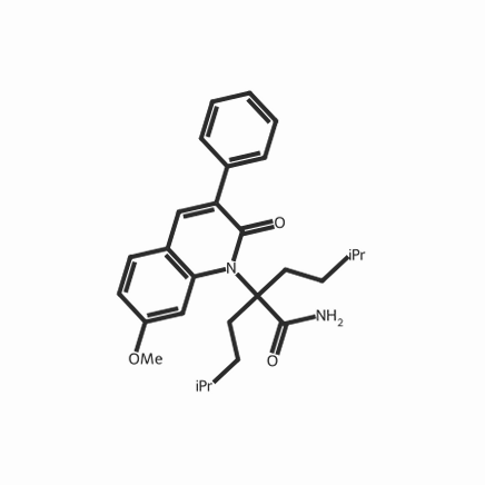 COc1ccc2cc(-c3ccccc3)c(=O)n(C(CCC(C)C)(CCC(C)C)C(N)=O)c2c1